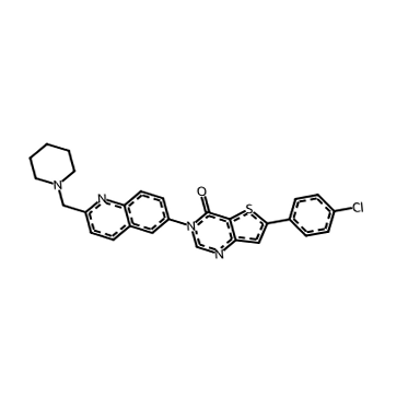 O=c1c2sc(-c3ccc(Cl)cc3)cc2ncn1-c1ccc2nc(CN3CCCCC3)ccc2c1